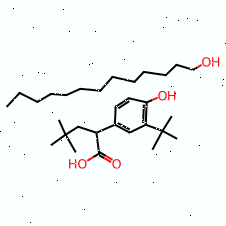 CC(C)(C)CC(C(=O)O)c1ccc(O)c(C(C)(C)C)c1.CCCCCCCCCCCCCO